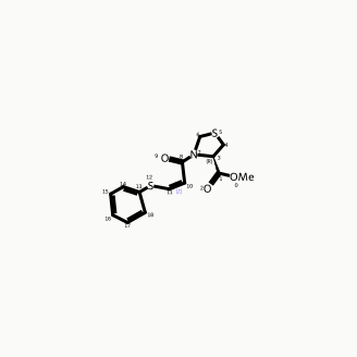 COC(=O)[C@@H]1CSCN1C(=O)/C=C\Sc1ccccc1